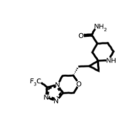 NC(=O)C1CCNC2(C1)CC2C[C@H]1Cn2c(nnc2C(F)(F)F)CO1